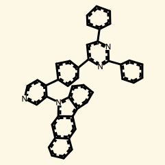 c1ccc(-c2cc(-c3ccc(-c4ccncc4-n4c5ccccc5c5cc6ccccc6cc54)cc3)nc(-c3ccccc3)n2)cc1